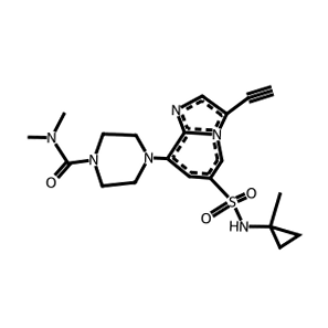 C#Cc1cnc2c(N3CCN(C(=O)N(C)C)CC3)cc(S(=O)(=O)NC3(C)CC3)cn12